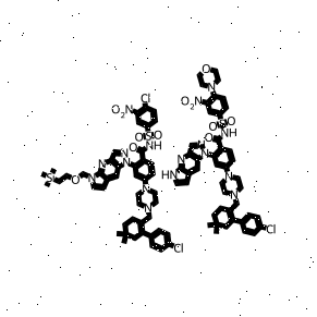 CC1(C)CCC(CN2CCN(c3ccc(C(=O)NS(=O)(=O)c4ccc(Cl)c([N+](=O)[O-])c4)c(-n4ncc5nc6c(ccn6COCC[Si](C)(C)C)cc54)c3)CC2)=C(c2ccc(Cl)cc2)C1.CC1(C)CCC(CN2CCN(c3ccc(C(=O)NS(=O)(=O)c4ccc(N5CCOCC5)c([N+](=O)[O-])c4)c(-n4ncc5nc6[nH]ccc6cc54)c3)CC2)=C(c2ccc(Cl)cc2)C1